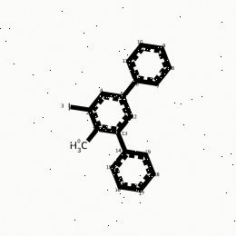 Cc1c(I)cc(-c2ccccc2)cc1-c1ccccc1